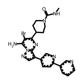 CNC(=O)N1CCC(c2nc3c(-c4ccc(-c5cccnc5)nc4)cnn3c(N)c2Br)CC1